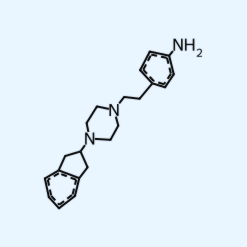 Nc1ccc(CCN2CCN(C3Cc4ccccc4C3)CC2)cc1